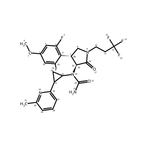 COc1cc(F)c([C@@H]2CN(CCC(F)(F)F)C(=O)[C@H]2N(C(N)=O)C2CC2c2cccc(C)n2)c(F)c1